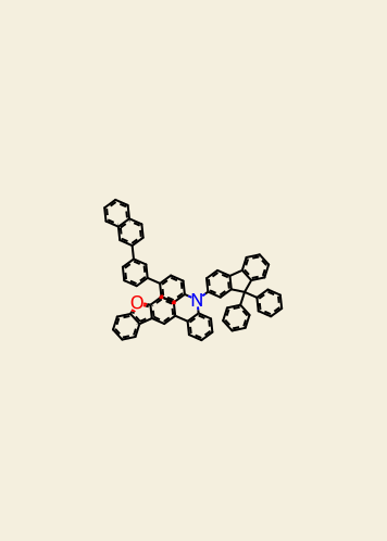 c1ccc(C2(c3ccccc3)c3ccccc3-c3ccc(N(c4ccc(-c5cccc(-c6ccc7ccccc7c6)c5)cc4)c4ccccc4-c4ccc5oc6ccccc6c5c4)cc32)cc1